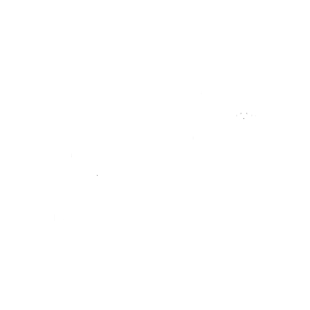 C#CC(C)(C)C=CCO[PH](=O)OC